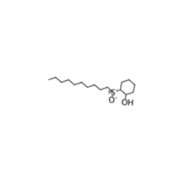 CCCCCCCCCC[S@+]([O-])C1CCCCC1O